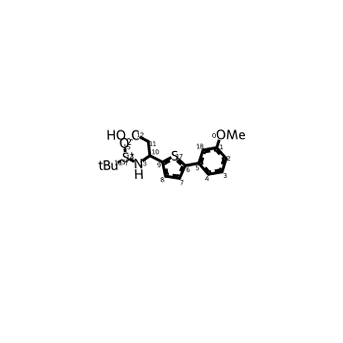 COc1cccc(-c2ccc(C(CC(=O)O)N[S@+]([O-])C(C)(C)C)s2)c1